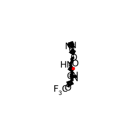 O=C(CO[C@H]1C[C@@H](n2nccn2)C1)NC12CC(c3nnc(C4CC(OC(F)(F)F)C4)o3)(C1)C2